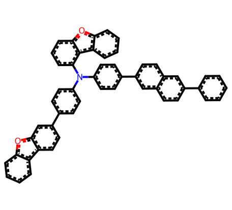 c1ccc(-c2ccc3cc(-c4ccc(N(c5ccc(-c6ccc7c(c6)oc6ccccc67)cc5)c5cccc6oc7ccccc7c56)cc4)ccc3c2)cc1